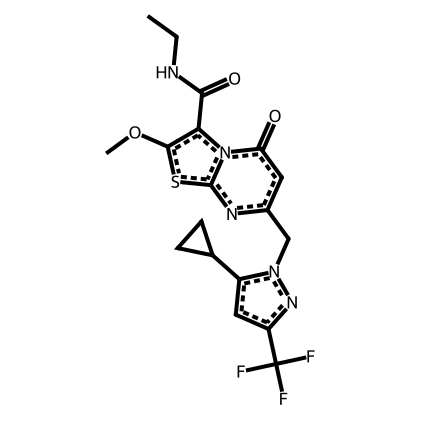 CCNC(=O)c1c(OC)sc2nc(Cn3nc(C(F)(F)F)cc3C3CC3)cc(=O)n12